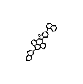 c1ccc2cc(-c3cc4cccc5c6c7ccc(-c8cccc9ccccc89)cc7sc6c6cccc3c6c45)ccc2c1